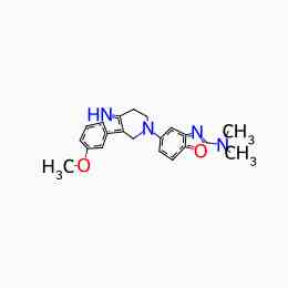 COc1ccc2[nH]c3c(c2c1)CN(c1ccc2oc(N(C)C)nc2c1)CC3